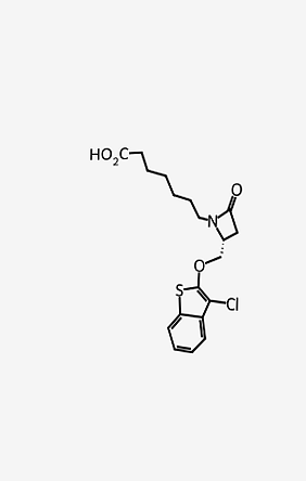 O=C(O)CCCCCCN1C(=O)C[C@@H]1COc1sc2ccccc2c1Cl